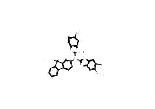 Cc1cc2nc(N(c3ccc4c(c3)C(C)(C)c3ccccc3-4)c3nc4cc(C)c(C)cc4[nH]3)[nH]c2cc1C